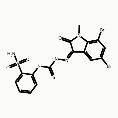 CN1C(=O)C(=NNC(=S)Nc2ccccc2S(N)(=O)=O)c2cc(Br)cc(Br)c21